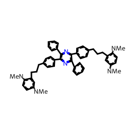 CNc1ccc(NC)c(CCCc2ccc(-c3nc(-c4ccccc4)c(-c4ccc(CCCc5cc(NC)ccc5NC)cc4)nc3-c3ccccc3)cc2)c1